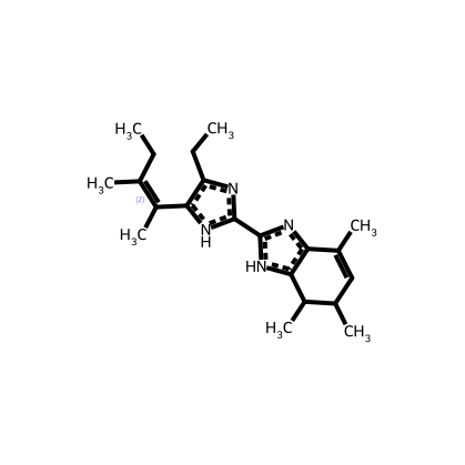 CC/C(C)=C(/C)c1[nH]c(-c2nc3c([nH]2)C(C)C(C)C=C3C)nc1CC